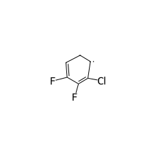 FC1=CC[CH]C(Cl)=C1F